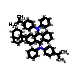 CC(C)c1ccc(N(c2ccccc2)c2c3ccccc3c(N(c3ccccc3)c3ccc(C(C)C)cc3)c3cc(C45CCCC(CCC4)C5)ccc23)cc1